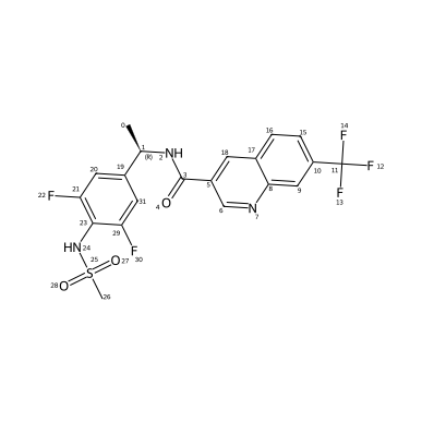 C[C@@H](NC(=O)c1cnc2cc(C(F)(F)F)ccc2c1)c1cc(F)c(NS(C)(=O)=O)c(F)c1